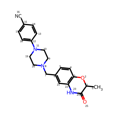 CC1Oc2ccc(CN3CCN(c4ccc(C#N)cc4)CC3)cc2NC1=O